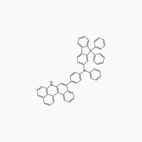 c1ccc(N(c2ccc(-c3cc4c(c5ccccc35)-c3cccc5cccc(c35)N4)cc2)c2ccc3c(c2)C(c2ccccc2)(c2ccccc2)c2ccccc2-3)cc1